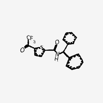 O=C(NC(c1ccccc1)c1ccccc1)c1ccc(C(=O)C(F)(F)F)s1